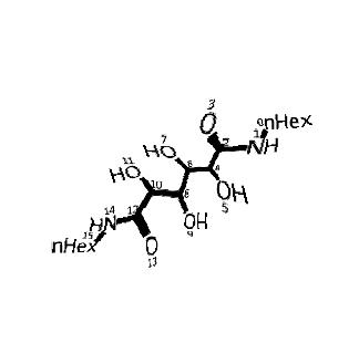 CCCCCCNC(=O)C(O)C(O)C(O)C(O)C(=O)NCCCCCC